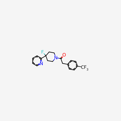 O=C(Cc1ccc(C(F)(F)F)cc1)N1CCC(F)(c2ccccn2)CC1